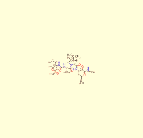 C#CCCC(NC(=O)[C@@H]1[C@@H]2[C@H](CN1C(=O)[C@@H](NC(=O)NC1(CS(=O)(=O)C(C)(C)C)CCCCC1)C(C)(C)C)C2(C)C)C(=O)C(=O)NCCCC